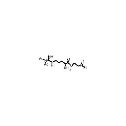 CCN(CC)CCOC(=O)[C@@H](N)CCCNC(=N)N(C(C)=O)C(C)=O